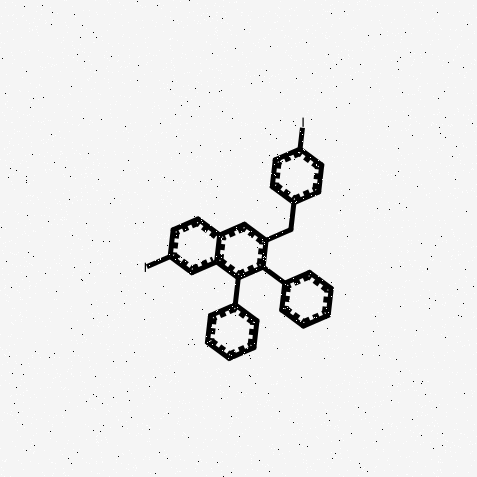 Ic1ccc(Cc2cc3ccc(I)cc3c(-c3ccccc3)c2-c2ccccc2)cc1